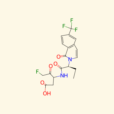 CC[C@@H](C(=O)NC(CC(=O)O)C(=O)CF)n1ccc2cc(C(F)(F)F)ccc2c1=O